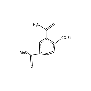 CCOC(=O)c1ccc(C(=O)OC)cc1C(N)=O